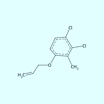 C=CCOc1ccc(Cl)c(Cl)c1C